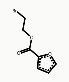 O=C(OCCBr)c1ccco1